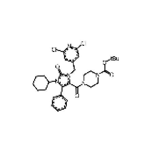 CC(C)(C)OC(=O)N1CCN(C(=O)c2c(-c3ccccc3)n(C3CCCCC3)c(=O)n2Cc2cc(Cl)nc(Cl)c2)CC1